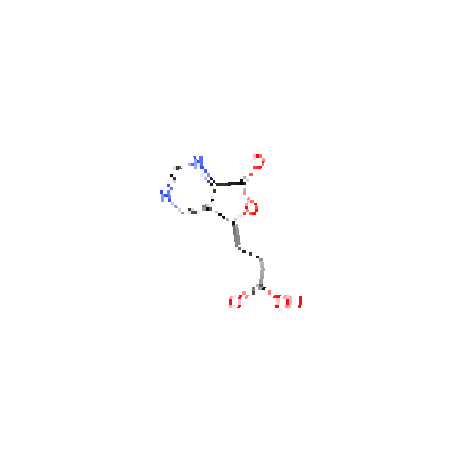 O=C(O)CC=C1OC(=O)c2ncncc21